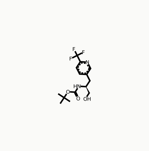 CC(C)(C)OC(=O)N[C@H](CO)Cc1ccc(C(F)(F)F)nc1